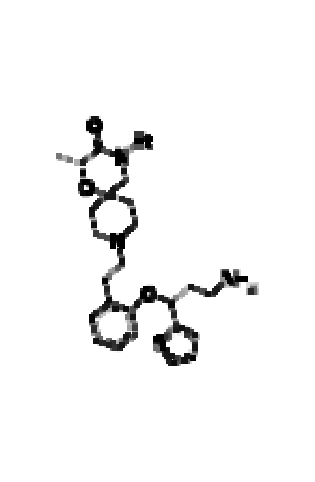 CCN1CC2(CCN(CCc3ccccc3O[C@H](CCN)c3cccs3)CC2)O[C@H](C)C1=O